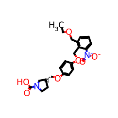 CCOCc1cccc([N+](=O)[O-])c1COc1ccc(OC[C@@H]2CCN(C(=O)O)C2)cc1